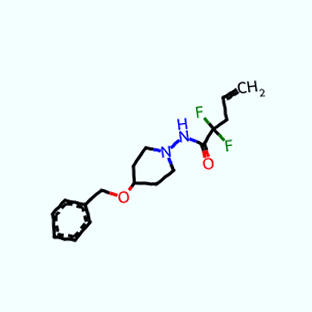 C=CCC(F)(F)C(=O)NN1CCC(OCc2ccccc2)CC1